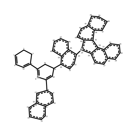 C1=CCCC(C2=NC(c3ccc4ccccc4c3)=CC(c3ccc(-n4c5ccc6ccccc6c5c5c6ccccc6ccc54)c4ccccc34)C2)=C1